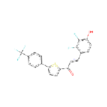 O=C(/C=C/c1ccc(O)c(F)c1F)c1ccc(-c2ccc(C(F)(F)F)cc2)s1